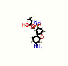 CC(C)[C@H](NS(=O)(=O)c1ccc2oc3cc(N)ccc3c2c1)C(=O)O